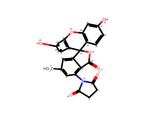 O=C(O)c1cc(N2C(=O)CCC2=O)c2c(c1)C1(OC2=O)c2ccc(O)cc2Oc2cc(O)ccc21